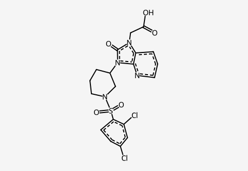 O=C(O)Cn1c(=O)n(C2CCCN(S(=O)(=O)c3ccc(Cl)cc3Cl)C2)c2ncccc21